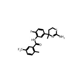 Cc1ccc(C(F)(F)F)cc1C(=O)Nc1cc(C2(C)CCSC(N)=N2)ccc1F